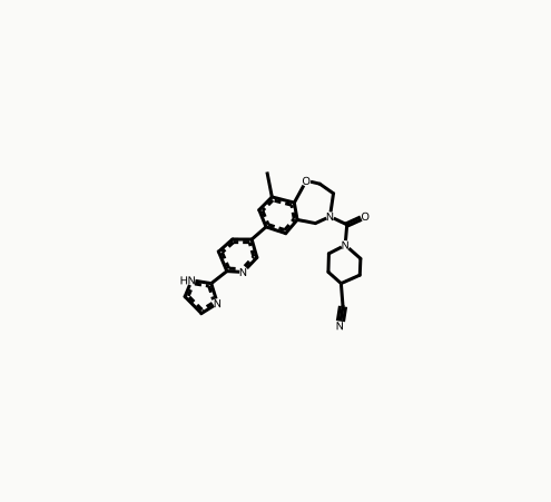 Cc1cc(-c2ccc(-c3ncc[nH]3)nc2)cc2c1OCCN(C(=O)N1CCC(C#N)CC1)C2